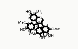 COc1cc(C2=COc3c(ccc(O)c3C)C2(c2ccc(O)cc2)c2cc(OC)c(O)c(OC)c2)cc(OC)c1O